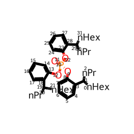 CCCCCCC(CCC)c1ccccc1OP(=O)(Oc1ccccc1C(CCC)CCCCCC)Oc1ccccc1C(CCC)CCCCCC